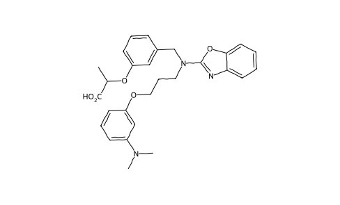 CC(Oc1cccc(CN(CCCOc2cccc(N(C)C)c2)c2nc3ccccc3o2)c1)C(=O)O